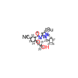 Cn1c(C(C)(C)C)cc(=NC(=O)c2cc(C#N)ccc2OCC(C)(C)O)n1CC1CCCC1